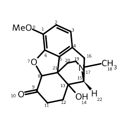 COc1ccc2c3c1OC1C(=O)CCC4(O)[C@@H](C2)N(C)CCC314